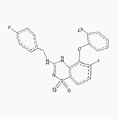 O=S1(=O)N=C(NCc2ccc(F)cc2)Nc2c1ccc(F)c2Oc1ccccc1Cl